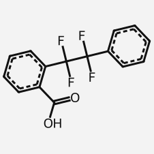 O=C(O)c1ccccc1C(F)(F)C(F)(F)c1ccccc1